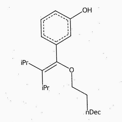 CCCCCCCCCCCCOC(=C(C(C)C)C(C)C)c1cccc(O)c1